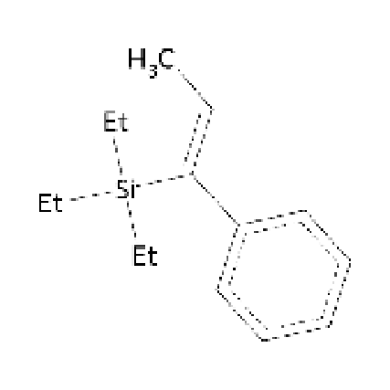 C/C=C(/c1ccccc1)[Si](CC)(CC)CC